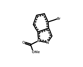 COC(=O)n1ncc2c(Br)cccc21